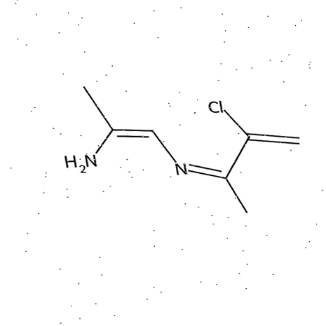 C=C(Cl)/C(C)=N\C=C(\C)N